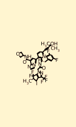 C[C@@H]1[C@H](I)c2c(C(F)(F)F)nn(CC(=O)N[C@@H](Cc3cc(F)cc(F)c3)c3nc(C#CC(C)(C)O)ccc3-c3cc(C(=O)NC4COC4)c4nccn4c3)c2C1(F)F